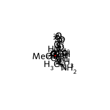 COc1ccc([C@](Cc2ccccc2)(NC(=O)OC2COC3OCCC23)[C@@H](O)C(NCC(C)(C)CCN)=S(=O)=O)cc1